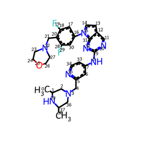 CC1CN(Cc2cc(Nc3ncc4ccn(-c5cc(F)c(CN6CCOCC6)c(F)c5)c4n3)ccn2)CC(C)N1